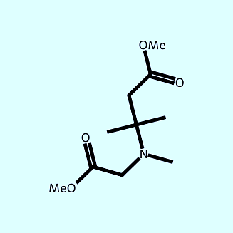 COC(=O)CN(C)C(C)(C)CC(=O)OC